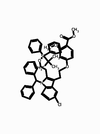 COC(=O)c1ccc(OCCc2c(CCO[Si](c3ccccc3)(c3ccccc3)C(C)(C)C)n(C(c3ccccc3)c3ccccc3)c3ccc(Cl)cc23)cc1OC